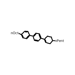 CCCCCCCCc1ccc(-c2ccc(C3=CCC(CCCCC)CC3)cc2)cc1